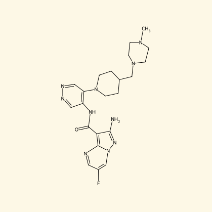 CN1CCN(CC2CCN(c3cnncc3NC(=O)c3c(N)nn4cc(F)cnc34)CC2)CC1